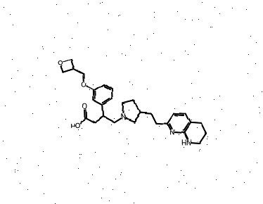 O=C(O)CC(CN1CCC(CCc2ccc3c(n2)NCCC3)C1)c1cccc(OCC2COC2)c1